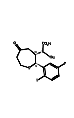 CC(C)(C)N(C(=O)O)[C@H]1CC(=O)CCS[C@H]1c1cc(F)ccc1F